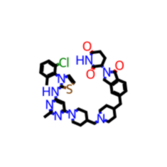 Cc1nc(NC2SC=CN2c2c(C)cccc2Cl)cc(N2CCC(CN3CCC(Cc4ccc5c(c4)CN(C4CCC(=O)NC4=O)C5=O)CC3)CC2)n1